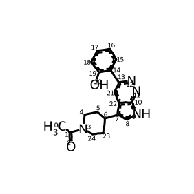 CC(=O)N1CCC(c2c[nH]c3nnc(-c4ccccc4O)cc23)CC1